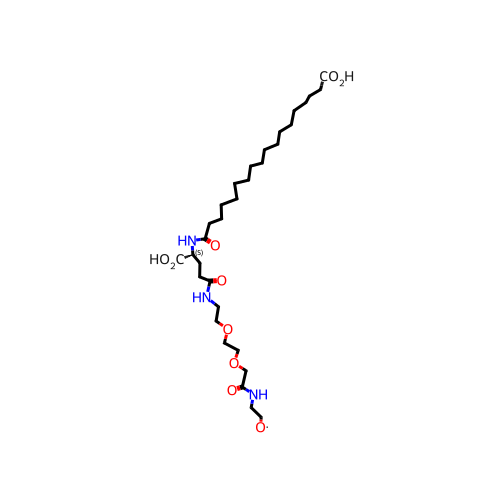 [O]CCNC(=O)COCCOCCNC(=O)CC[C@H](NC(=O)CCCCCCCCCCCCCCCCC(=O)O)C(=O)O